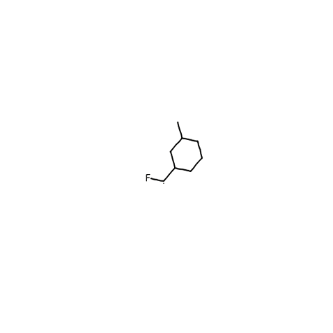 CC1CCCC([CH]F)C1